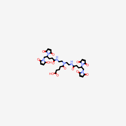 O=C(O)CCCC(=O)N(CCNC(=O)CCC(CN1C(=O)C=CC1=O)N1C(=O)C=CC1=O)CCNC(=O)CCC(CN1C(=O)C=CC1O)N1C(=O)C=CC1=O